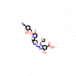 COc1cc(C#N)ccc1COc1nc(C23CCN(Cc4nc5c(OC)cc(C(=O)O)cc5n4C[C@@H]4CCO4)CC2C3)ccc1F